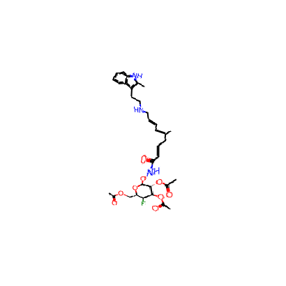 CC(=O)OC[C@H]1O[C@@H](ONC(=O)/C=C/C/C(C)=C/C=C/CNCCc2c(C)[nH]c3ccccc23)[C@H](OC(C)=O)[C@@H](OC(C)=O)[C@H]1F